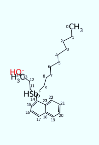 CCCCCCCCC[CH2][SbH+]([CH2]CC)[c]1cccc2ccccc12.[OH-]